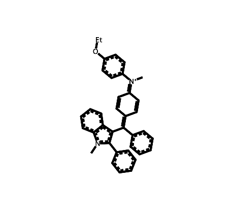 CCOc1ccc([N+](C)=C2C=CC(=C(c3ccccc3)c3c(-c4ccccc4)n(C)c4ccccc34)C=C2)cc1